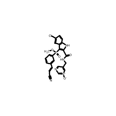 COP(=O)(c1cccc(/C=C/C#N)c1)c1c(C(=O)NCc2cnc[n+]([O-])c2)[nH]c2ccc(Cl)cc12